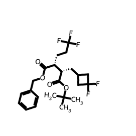 CC(C)(C)OC(=O)[C@@H](CC1CC(F)(F)C1)[C@@H](CCC(F)(F)F)C(=O)OCc1ccccc1